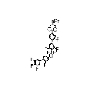 CCCC1COC(c2ccc(-c3cc(F)c(C(F)(F)Oc4ccc(-c5cc(F)c(F)c(F)c5)c(F)c4)c(F)c3)c(F)c2)OC1